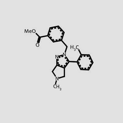 COC(=O)c1cccc(Cn2nc3c(c2-c2ccccc2C)CN(C)C3)c1